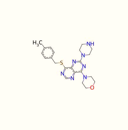 Cc1ccc(CSc2ncnc3c(N4CCOCC4)nc(N4CCNCC4)nc23)cc1